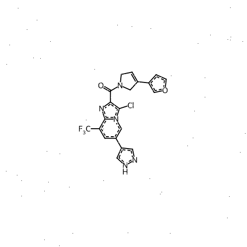 O=C(c1nc2c(C(F)(F)F)cc(-c3cn[nH]c3)cn2c1Cl)N1CC=C(c2ccoc2)C1